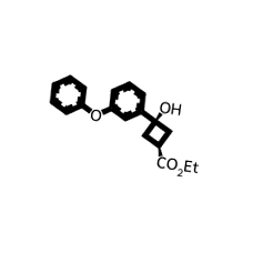 CCOC(=O)[C@H]1C[C@](O)(c2cccc(Oc3ccccc3)c2)C1